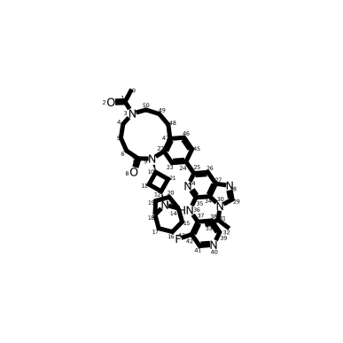 CC(=O)N1CCCC(=O)N([C@H]2C[C@@H](N3C4CCCC3CC4)C2)c2cc(-c3cc4ncn(C(C)C)c4c(Nc4ccncc4F)n3)ccc2CCC1